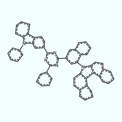 c1ccc(-c2nc(-c3cc(-n4c5ccc6ccccc6c5c5c6ccccc6ccc54)c4ccccc4c3)nc(-c3ccc4c5ccccc5n(-c5ccccc5)c4c3)n2)cc1